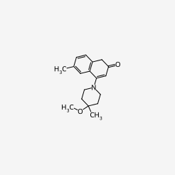 COC1(C)CCN(C2=CC(=O)Cc3ccc(C)cc32)CC1